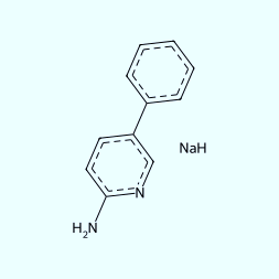 Nc1ccc(-c2ccccc2)cn1.[NaH]